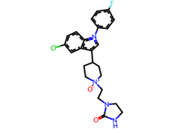 O=C1NCCN1CC[N+]1([O-])CCC(c2cn(-c3ccc(F)cc3)c3ccc(Cl)cc23)CC1